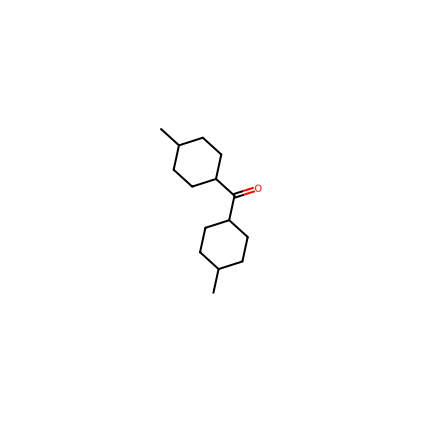 CC1CCC(C(=O)C2CCC(C)CC2)CC1